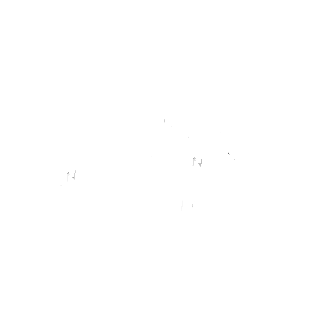 CC(c1ccccc1)c1nc2ccccc2c(=O)n1CC1CCCC(CN)C1